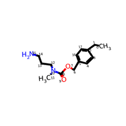 CCc1ccc(COC(=O)N(C)CCCN)cc1